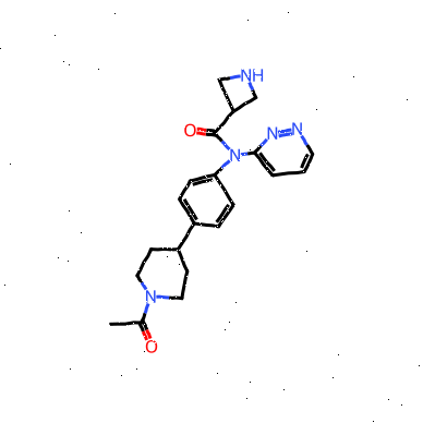 CC(=O)N1CCC(c2ccc(N(C(=O)C3CNC3)c3cccnn3)cc2)CC1